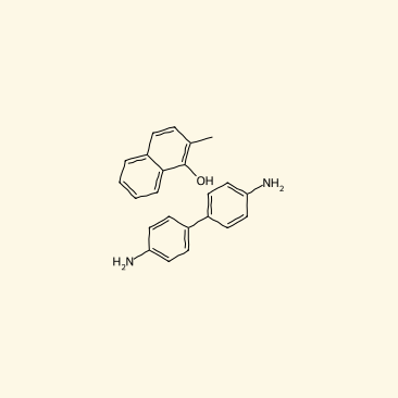 Cc1ccc2ccccc2c1O.Nc1ccc(-c2ccc(N)cc2)cc1